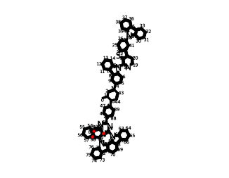 CC1C=C(c2ccc3c(c2)c2ccccc2n3-c2nccc3c2sc2ccc(-n4c5ccccc5c5ccccc54)cc23)C=CC1c1ccc(-c2nc(-c3ccccc3)nc(-n3c4ccccc4c4ccc5c6ccccc6n(-c6ccccc6)c5c43)n2)cc1